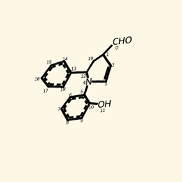 O=CC1C=CN(c2ccccc2O)C(c2ccccc2)C1